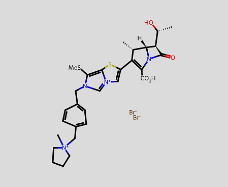 CSc1c2sc(C3=C(C(=O)O)N4C(=O)[C@H]([C@@H](C)O)[C@H]4[C@H]3C)c[n+]2cn1Cc1ccc(C[N+]2(C)CCCC2)cc1.[Br-].[Br-]